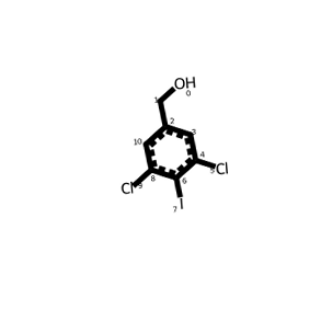 OCc1cc(Cl)c(I)c(Cl)c1